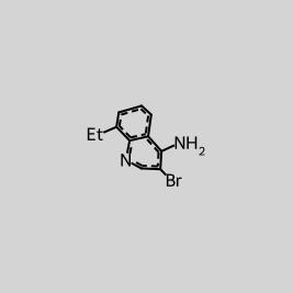 CCc1cccc2c(N)c(Br)cnc12